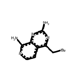 CC(C)(C)Cc1nc(N)nc2c(N)nccc12